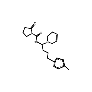 Cc1ccc(CCCC(NC(=O)N2CCCC2=O)N2CC=CCC2)cc1